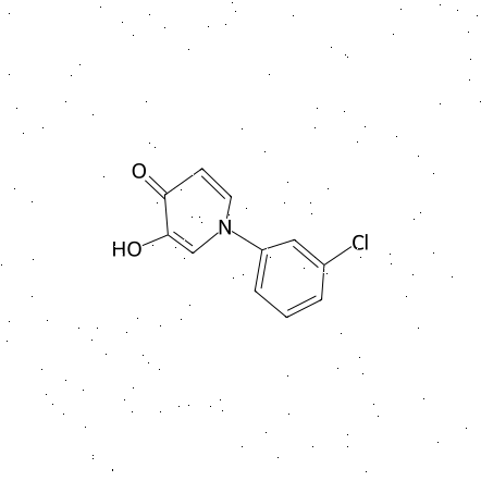 O=c1ccn(-c2cccc(Cl)c2)cc1O